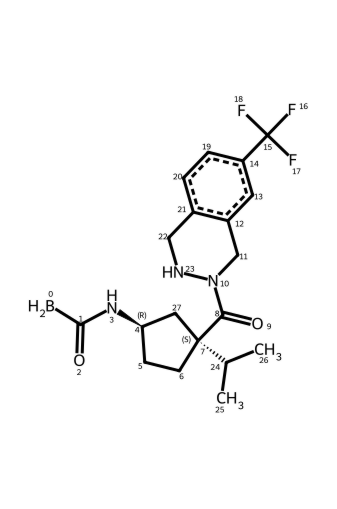 BC(=O)N[C@@H]1CC[C@@](C(=O)N2Cc3cc(C(F)(F)F)ccc3CN2)(C(C)C)C1